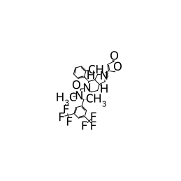 Cc1ccccc1[C@H]1[C@@H]2CN(C3=CC(=O)OC3)C[C@H]2CCN1C(=O)N(C)[C@H](C)c1cc(C(F)(F)F)cc(C(F)(F)F)c1